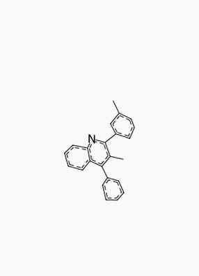 Cc1cccc(-c2nc3ccccc3c(-c3ccccc3)c2C)c1